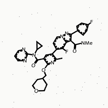 CNC(=O)c1c(-c2ccc(F)cc2)nn2ccc(-c3cc(C(=O)N(c4ncccn4)C4CC4)c(OCC4CCOCC4)nc3C)c(F)c12